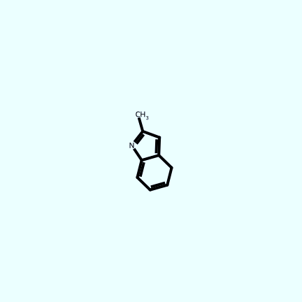 CC1=NC2=CC=CCC2=C1